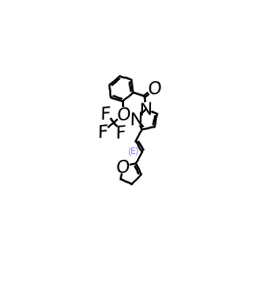 O=C(c1ccccc1OC(F)(F)F)n1ccc(/C=C/C2=CCCO2)n1